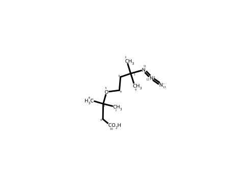 CC(C)(CCOC(C)(C)CC(=O)O)N=[N+]=[N-]